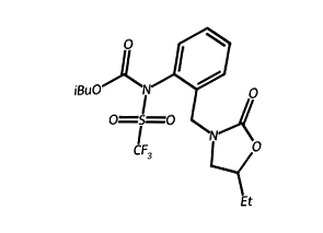 CCC1CN(Cc2ccccc2N(C(=O)OCC(C)C)S(=O)(=O)C(F)(F)F)C(=O)O1